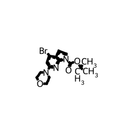 CC(C)(C)OC(=O)n1ccc2c(Br)cc(N3CCOCC3)nc21